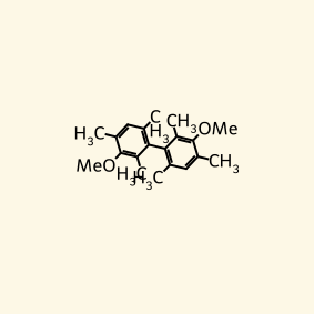 COc1c(C)cc(C)c(-c2c(C)cc(C)c(OC)c2C)c1C